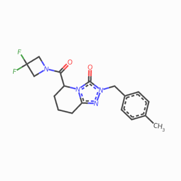 Cc1ccc(Cn2nc3n(c2=O)C(C(=O)N2CC(F)(F)C2)CCC3)cc1